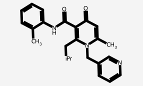 Cc1ccccc1NC(=O)c1c(CC(C)C)n(Cc2cccnc2)c(C)cc1=O